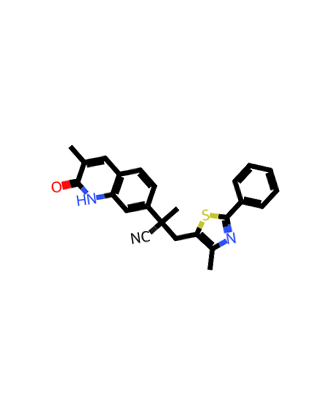 Cc1nc(-c2ccccc2)sc1CC(C)(C#N)c1ccc2cc(C)c(=O)[nH]c2c1